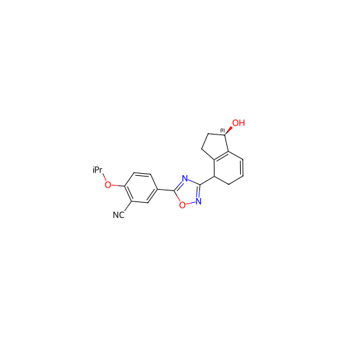 CC(C)Oc1ccc(-c2nc(C3CC=CC4=C3CC[C@H]4O)no2)cc1C#N